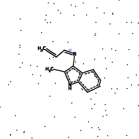 C=C/C=N\c1c(C)[nH]c2ccccc12